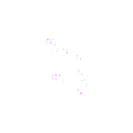 CN(CCCN1Cc2cc([N+](=O)[O-])ccc2C(C)(C)C1)CCCN1Cc2cc([N+](=O)[O-])ccc2C(C)(C)C1.O=[N+]([O-])O